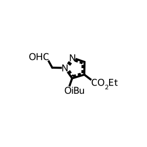 CCOC(=O)c1cnn(CC=O)c1OCC(C)C